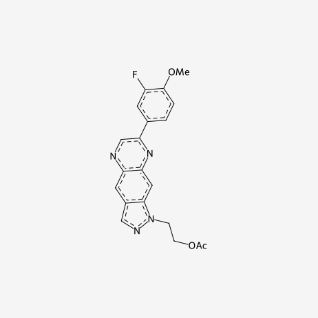 COc1ccc(-c2cnc3cc4cnn(CCOC(C)=O)c4cc3n2)cc1F